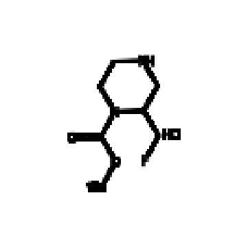 CC(C)(C)OC(=O)N1CCNCC1CF.Cl